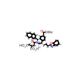 COC(=O)c1ccc([C@H](C/C=C/c2nc3ccccc3o2)[C@H](C)N(Cc2ccc3ccccc3c2)C(=O)C[C@H](CC(=O)O)C(=O)O)cc1